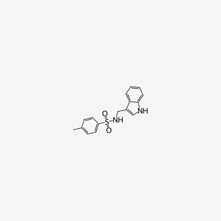 Cc1ccc(S(=O)(=O)NCc2c[nH]c3ccccc23)cc1